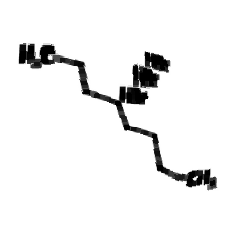 Br.Br.Br.CCCCCCCC